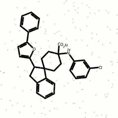 O=C(O)C1(Nc2cccc(Cl)c2)CCC2(CC1)c1ccccc1CC2c1ccc(-c2ccccc2)o1